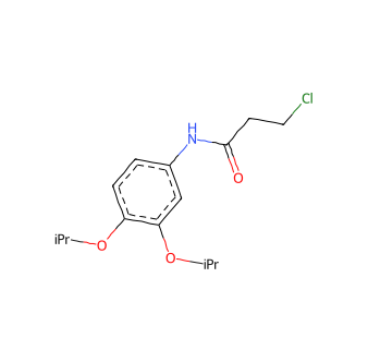 CC(C)Oc1ccc(NC(=O)CCCl)cc1OC(C)C